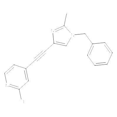 Cc1nc(C#Cc2ccnc(Cl)c2)cn1Cc1ccccc1